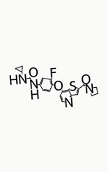 O=C(Nc1ccc(Oc2ccnc3cc(C(=O)N4CCC4)sc23)c(F)c1)NC1CC1